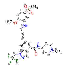 COc1ccc(S(C)(=O)=O)cc1NCC#Cc1cc(C(=O)NC2CCN(C)CC2)c2cnn(CC(F)(F)F)c2c1